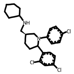 Clc1ccc(N2C[C@H](CNC3CCCCC3)CCC2c2ccc(Cl)cc2Cl)cc1